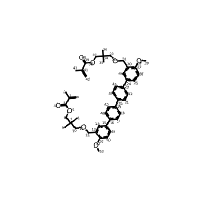 C=C(C)C(=O)OCC(C)(C)COCc1cc(-c2ccc(-c3ccc(-c4ccc(OC)c(COCC(C)(C)COC(=O)C(=C)C)c4)cc3)cc2)ccc1OC